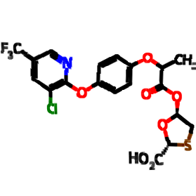 CC(Oc1ccc(Oc2ncc(C(F)(F)F)cc2Cl)cc1)C(=O)O[C@H]1CS[C@H](C(=O)O)O1